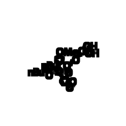 CCCCN(CCCC)C(=O)CN1CC(c2ccc3c(c2)OCO3)[C@@H](C(=O)OCCOCCON(O)O)C1c1ccc(OC)cc1